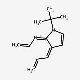 C=C/C=C1/C=CN(C(C)(C)C)/C1=N/C=C